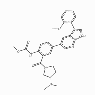 COC(=O)Nc1ccc(-c2cnc3[nH]cc(-c4ccccc4OC)c3c2)cc1C(=O)N1CC[C@H](N(C)C)C1